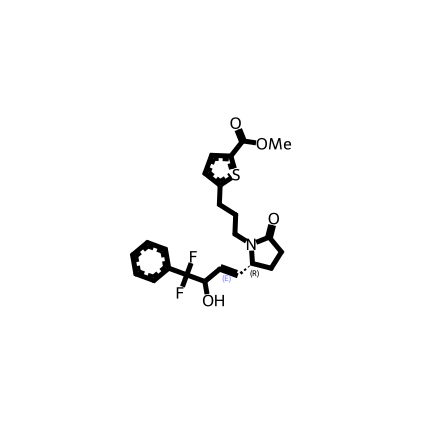 COC(=O)c1ccc(CCCN2C(=O)CC[C@@H]2/C=C/C(O)C(F)(F)c2ccccc2)s1